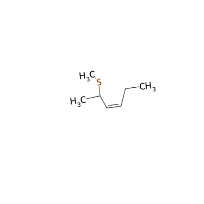 CC/C=C\C(C)SC